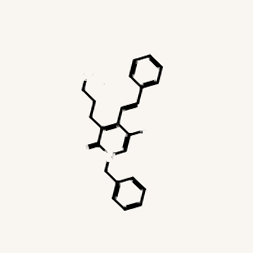 O=C(O)CCCc1c(C=Cc2ccccc2)c(F)cn(Cc2ccccc2)c1=O